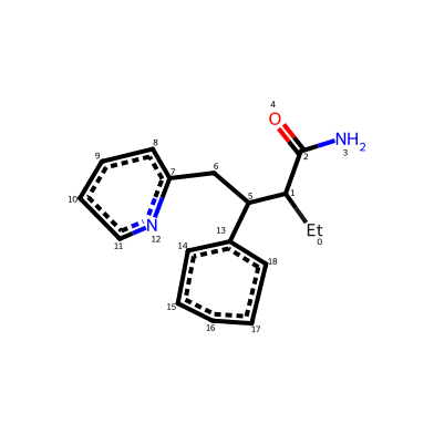 CCC(C(N)=O)C(Cc1ccccn1)c1ccccc1